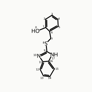 Oc1ccccc1CSc1nc2ccccc2[nH]1